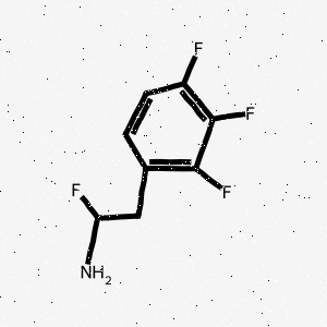 NC(F)Cc1ccc(F)c(F)c1F